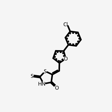 O=C1NC(=S)S/C1=C\c1ccc(-c2cccc(Cl)c2)o1